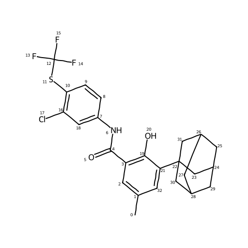 Cc1cc(C(=O)Nc2ccc(SC(F)(F)F)c(Cl)c2)c(O)c(C23CC4CC(CC(C4)C2)C3)c1